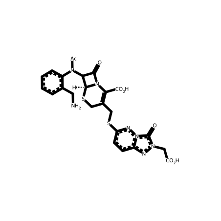 CC(=O)N(c1ccccc1CN)C1C(=O)N2C(C(=O)O)=C(CSc3ccc4nn(CC(=O)O)c(=O)n4n3)CS[C@@H]12